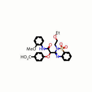 CCOCCN1C(C(Oc2ccc(C(=O)O)cc2)C(=O)Nc2ccccc2OC)=Nc2ccccc2S1(=O)=O